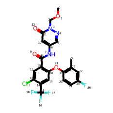 COCn1ncc(NC(=O)c2cc(Cl)c(C(F)(F)F)cc2Oc2ccc(F)cc2C)cc1=O